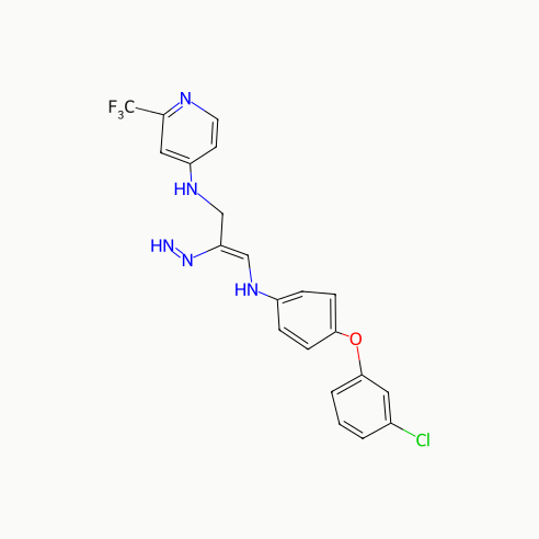 N=N/C(=C\Nc1ccc(Oc2cccc(Cl)c2)cc1)CNc1ccnc(C(F)(F)F)c1